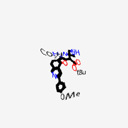 COc1ccc(-c2cc3c(cn2)CCc2c-3oc(C(C(=O)OC(C)(C)C)C3(N)CNC3)c2C(=O)O)cc1